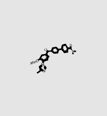 COc1cc(C(=O)c2ccc(-c3ccc(C(=O)N(C)C)cc3)cc2)ccc1-n1cnc(C)c1